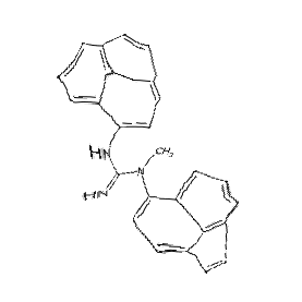 CN(C(=N)Nc1ccc2c3c(cccc13)C=C2)c1ccc2c3c(cccc13)C=C2